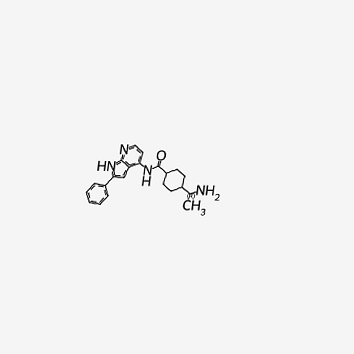 C[C@@H](N)C1CCC(C(=O)Nc2ccnc3[nH]c(-c4ccccc4)cc23)CC1